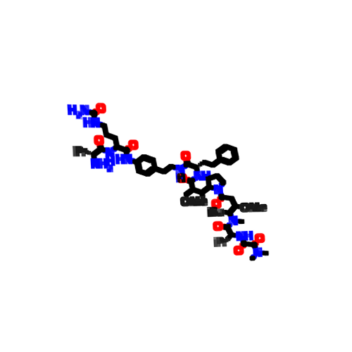 CCC(C)C(C(CC(=O)N1CCCC1C(OC)C(C)C(=O)N[C@@H](CCc1ccccc1)C(=O)NCCc1ccc(NC(=O)C(CCCNC(N)=O)NC(=O)[C@H](N)C(C)C)cc1)OC)N(C)C(=O)[C@@H](NC(=O)C(=O)N(C)C)C(C)C